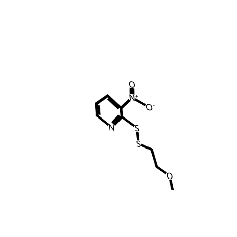 COCCSSc1ncccc1[N+](=O)[O-]